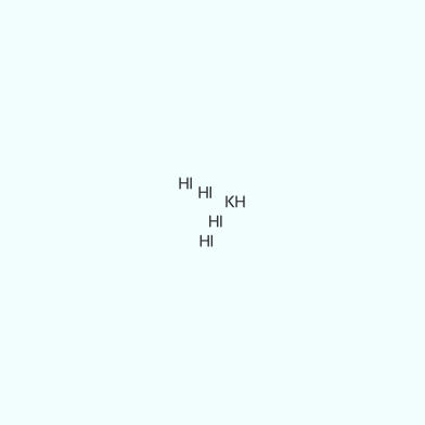 I.I.I.I.[KH]